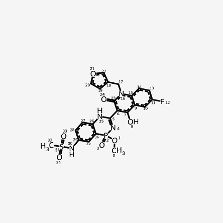 COP1(=O)N=C(c2c(O)c3cc(F)ccc3n(Cc3ccoc3)c2=O)Nc2ccc(NS(C)(=O)=O)cc21